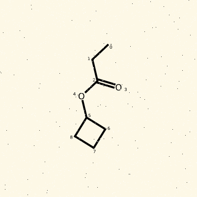 [CH2]CC(=O)OC1CCC1